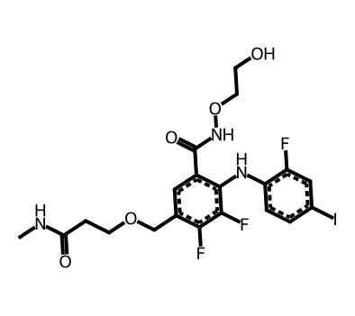 CNC(=O)CCOCc1cc(C(=O)NOCCO)c(Nc2ccc(I)cc2F)c(F)c1F